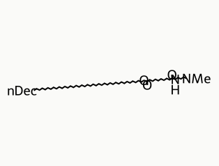 CCCCCCCCCCCCCCCCCCCCCCCCCCCCCCCCCCCCCCCCCCCCCCCCOC(=O)CCCCCCCCC(=O)NCCCNC